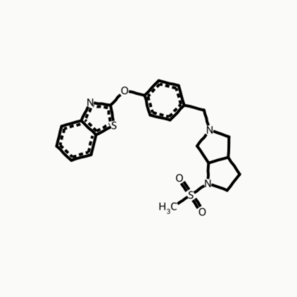 CS(=O)(=O)N1CCC2CN(Cc3ccc(Oc4nc5ccccc5s4)cc3)CC21